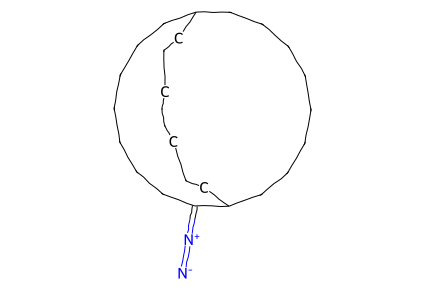 [N-]=[N+]=C1CCCCCCCC2CCCCCCCCC1CCCCCCCC2